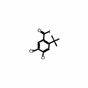 CC(C)(C)c1cc(Cl)c(Cl)cc1C(=O)I